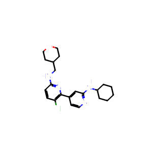 Clc1ccc(NCC2CCOCC2)nc1-c1ccnc(NC2CCCCC2)c1